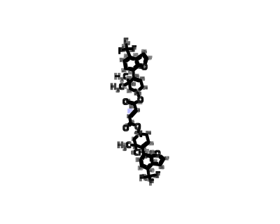 CC1(C)CN(OC(=O)/C=C/C(=O)ON2CC=C(c3ccc(C(F)(F)F)c4ccoc34)C(C)(C)C2)CC=C1c1ccc(C(F)(F)F)c2ccoc12